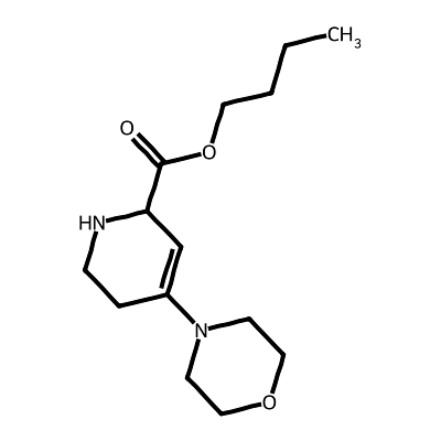 CCCCOC(=O)C1C=C(N2CCOCC2)CCN1